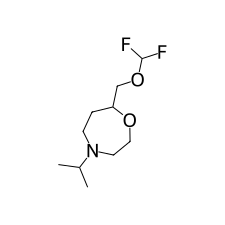 CC(C)N1CCOC(COC(F)F)CC1